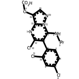 CC(C)Nc1c(-c2ccc(Cl)cc2Cl)c(Cl)nc2c(OC(=O)O)cnn12